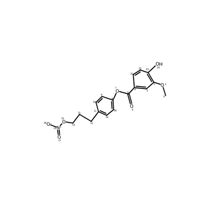 COc1cc(C(=O)Oc2ccc(CCCO[N+](=O)[O-])cc2)ccc1O